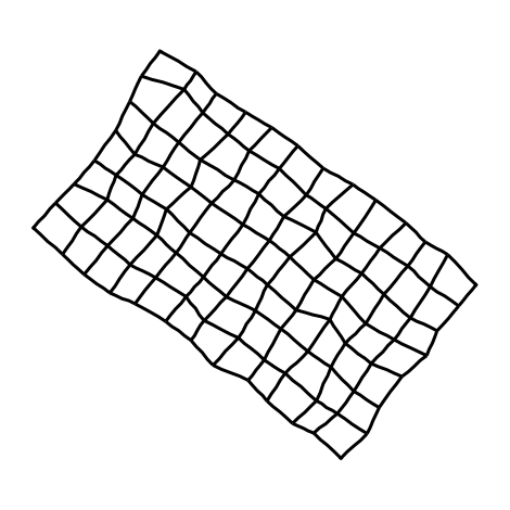 C1C2C3C4C5C6C7CC8C9C%10C%11C%12C%13C%14C%15C%16C%17C%18CC%19C%20C%21C%22C%23C%24CC%25C%26C%27C%28C%29C%30C%31C%32C%33C%34C1C21C32C43C54C65C78C96C%107C%118C%129C%13%10C%14%11C%15%12C%16%13C%17%14C%19%18C%20%15C%21%16C%22%17C%23%18C%24%25C%26%19C%27%20C%28%21C%29%22C%30%23C%31%24C%32%25C%33%26C%341C21C32C43C56C74C85C96C%107C%118C%129C%13%10C%15%14C%16%11C%17%12C%18%19C%20%13C%21%14C%22%15C%23%16C%24%17C%25%18C%261C21C34C52C%181C%171C62C72C83C94C%11%10C%12%13C%144C%153C%1612